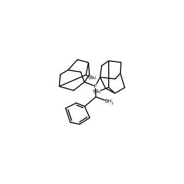 BC(c1ccccc1)P(C12CC3CC(C1)C(C(C)(C)C)C(C3)C2)C12CC3CC(C1)C(C(C)(C)C)C(C3)C2